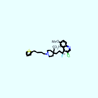 COc1ccc2ncc(Cl)c([C@@H](F)CCC3(CC(=O)O)CCN(CCCCc4cccs4)CC3)c2c1